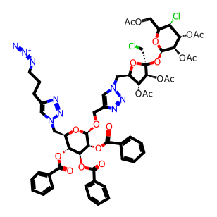 CC(=O)OCC1O[C@H](O[C@]2(CCl)O[C@H](Cn3cc(CO[C@@H]4O[C@H](Cn5cc(CCCN=[N+]=[N-])nn5)[C@@H](OC(=O)c5ccccc5)[C@H](OC(=O)c5ccccc5)[C@H]4OC(=O)c4ccccc4)nn3)[C@@H](OC(C)=O)[C@@H]2OC(C)=O)[C@H](OC(C)=O)[C@@H](OC(C)=O)[C@H]1Cl